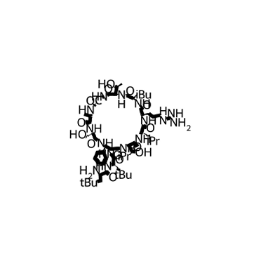 CC[C@H](C)[C@@H]1NC(=O)[C@@H](CCCNC(=N)N)NC(=O)[C@H](CC(C)C)NC(=O)[C@H]([C@H](O)C(C)C)NC(=O)[C@@H](NC(=O)[C@H](CC(C)(C)C)NC(=O)[C@H](N)CC(C)(C)C)[C@@H](c2ccccc2)NC(=O)[C@H](CO)NC(=O)C(C)NC(=O)CNC(=O)[C@H]([C@H](C)O)NC1=O